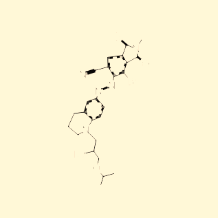 CC(C)OCC(O)CN1CCCc2cc(/N=N/c3c(C#N)cc4c(c3Br)C(=O)N(C)C4=O)ccc21